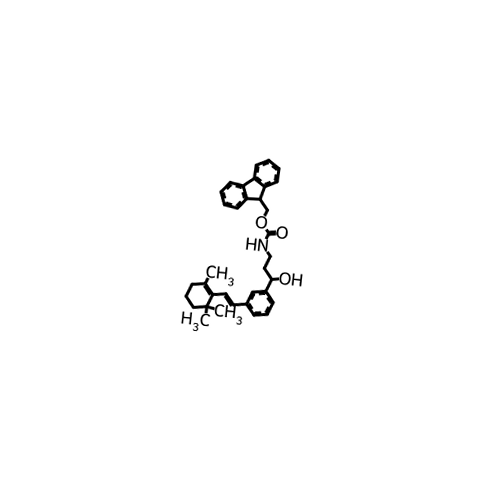 CC1=C(C=Cc2cccc(C(O)CCNC(=O)OCC3c4ccccc4-c4ccccc43)c2)C(C)(C)CCC1